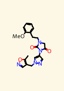 COc1ccccc1CCN1CC(=O)N(c2cnn(Cc3cnoc3C)c2)C1=O